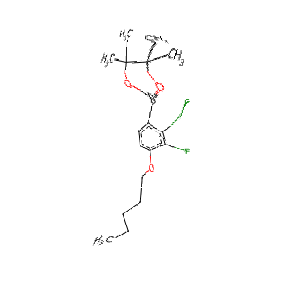 CCCCCOc1ccc(B2OC(C)(C)C(C)(C)O2)c(F)c1F